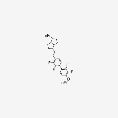 CCCOc1ccc(-c2ccc(CCC3CCC4C(CCC)CCC34)c(F)c2F)c(F)c1F